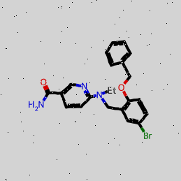 CCN(Cc1cc(Br)ccc1OCc1ccccc1)c1ccc(C(N)=O)cn1